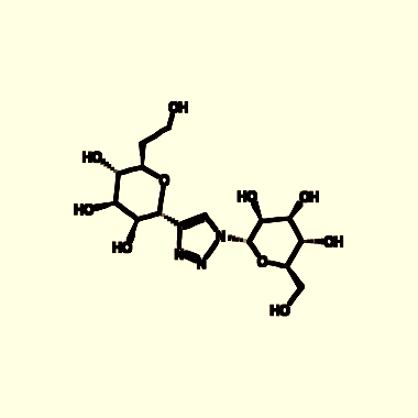 OCC[C@H]1O[C@H](c2cn([C@H]3O[C@H](CO)[C@@H](O)[C@H](O)[C@@H]3O)nn2)[C@@H](O)[C@@H](O)[C@@H]1O